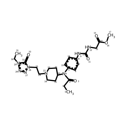 CCC(=O)N(c1ccc(NC(=O)NCC(=O)OC)cc1)C1CCN(CCn2nnn(CC)c2=O)CC1